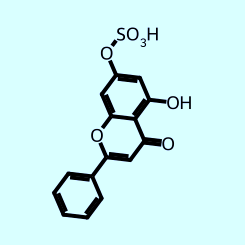 O=c1cc(-c2ccccc2)oc2cc(OS(=O)(=O)O)cc(O)c12